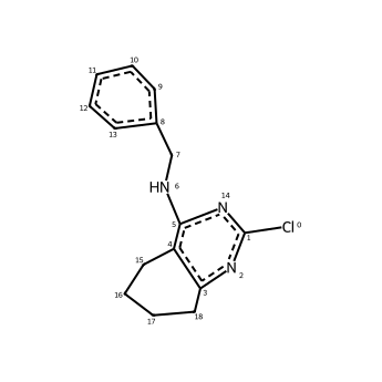 Clc1nc2c(c(NCc3ccccc3)n1)CCCC2